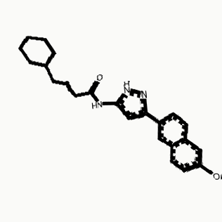 COc1ccc2cc(-c3cc(NC(=O)CCCC4CCCCC4)[nH]n3)ccc2c1